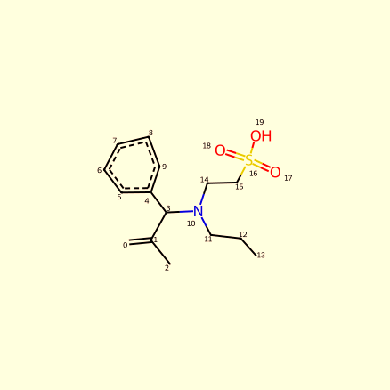 C=C(C)C(c1ccccc1)N(CCC)CCS(=O)(=O)O